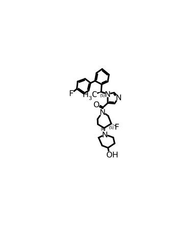 C[C@@H](c1ccccc1-c1ccc(F)cc1)n1cncc1C(=O)N1CC[C@@H](N2CCC(O)CC2)[C@@H](F)C1